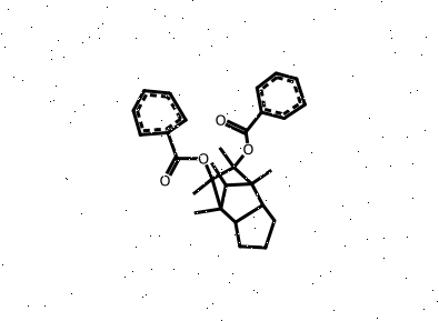 CC1C2(C)C3CCCC3C1(C)C(C)(OC(=O)c1ccccc1)C2(C)OC(=O)c1ccccc1